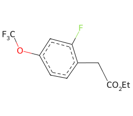 CCOC(=O)Cc1ccc(OC(F)(F)F)cc1F